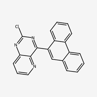 Clc1nc(-c2cc3ccccc3c3ccccc23)c2ncccc2n1